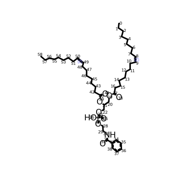 CCCCCCCC/C=C\CCCCCCCC(=O)OCC(COP(=O)(O)OCCNC(=O)c1ccccc1)OC(=O)CCCCCCC/C=C\CCCCCCCC